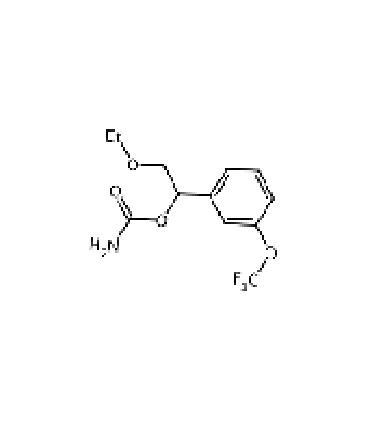 CCOCC(OC(N)=O)c1cccc(OC(F)(F)F)c1